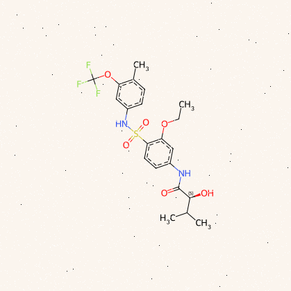 CCOc1cc(NC(=O)[C@@H](O)C(C)C)ccc1S(=O)(=O)Nc1ccc(C)c(OC(F)(F)F)c1